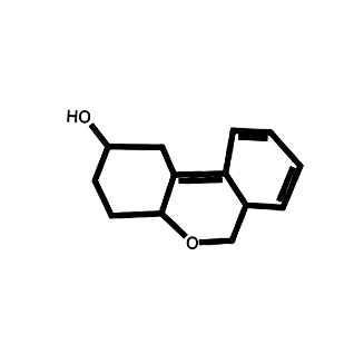 OC1CCC2OCC3C=CC=CC3=C2C1